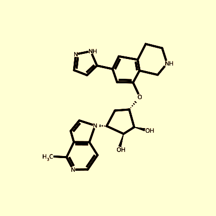 Cc1nccc2c1ccn2[C@@H]1C[C@H](Oc2cc(-c3ccn[nH]3)cc3c2CNCC3)[C@@H](O)[C@H]1O